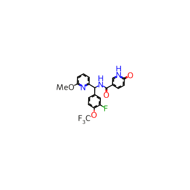 COc1cccc(C(NC(=O)c2ccc(=O)[nH]c2)c2ccc(OC(F)(F)F)c(F)c2)n1